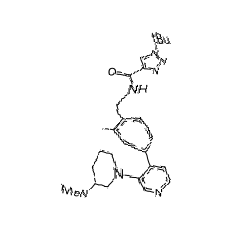 CNC1CCCN(c2cnccc2-c2ccc(CNC(=O)c3cn(C(C)(C)C)nn3)c(C)c2)C1